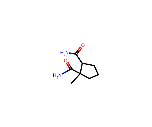 CC1(C(N)=O)CCCC1C(N)=O